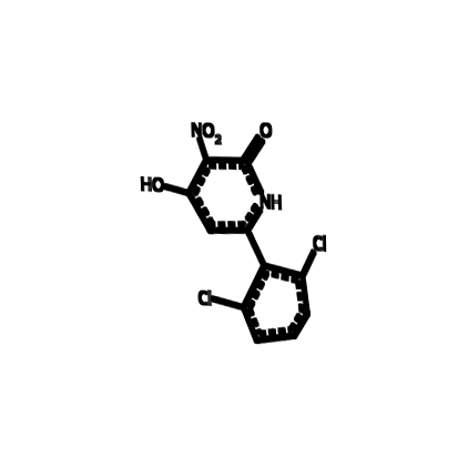 O=c1[nH]c(-c2c(Cl)cccc2Cl)cc(O)c1[N+](=O)[O-]